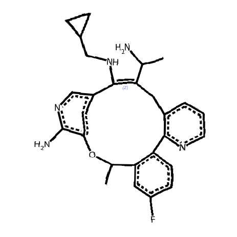 CC(N)/C1=C(\NCC2CC2)c2cnc(N)c(c2)OC(C)c2cc(F)ccc2-c2ncccc2C1